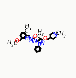 COCc1ccc(C)c(CNC(=O)Nc2c(C)c(OCC3CCN(C)CC3)nn2-c2ccccc2)c1